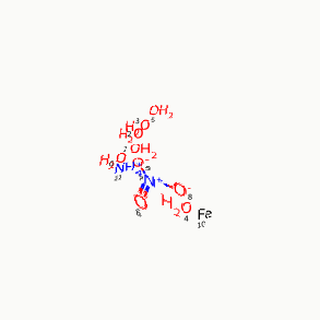 O.O.O.O.O.O.O=[N+]([O-])[O-].[Fe].[NH4+]